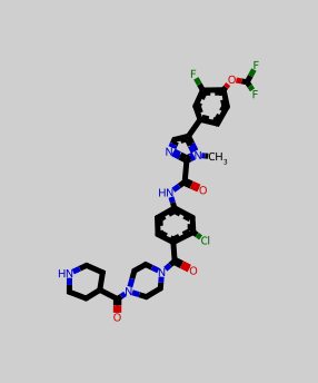 Cn1c(-c2ccc(OC(F)F)c(F)c2)cnc1C(=O)Nc1ccc(C(=O)N2CCN(C(=O)C3CCNCC3)CC2)c(Cl)c1